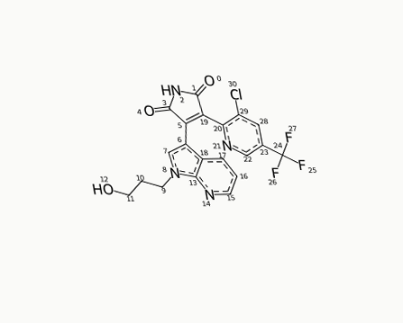 O=C1NC(=O)C(c2cn(CCCO)c3ncccc23)=C1c1ncc(C(F)(F)F)cc1Cl